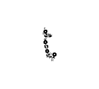 C[C@@H](NC[C@H](C)n1ncn(-c2ccc(N3CCN(c4ccc(OC[C@@H]5CO[C@@](Cn6cncn6)(c6ccc(F)cc6F)O5)cc4)CC3)cc2)c1=O)c1ccccc1